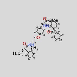 C=CCC(C(=O)NCCCOc1ccc(CC(Nc2ccccc2C(=O)c2ccccc2)C(=O)OC)cc1)c1ccccc1C